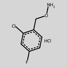 Cl.NOCc1ccc(F)cc1Cl